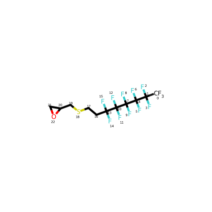 FC(F)(F)C(F)(F)C(F)(F)C(F)(F)C(F)(F)C(F)(F)CCSCC1CO1